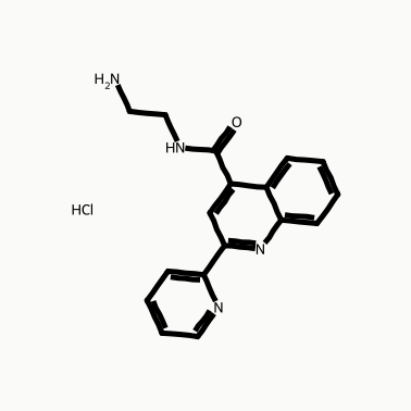 Cl.NCCNC(=O)c1cc(-c2ccccn2)nc2ccccc12